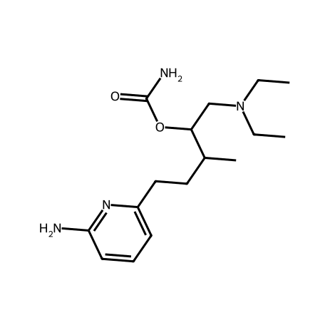 CCN(CC)CC(OC(N)=O)C(C)CCc1cccc(N)n1